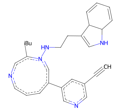 C#Cc1cncc(-c2cccncc(C(C)CC)n(NCCC3=CNC4C=CC=CC34)c2)c1